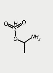 CC(N)O[SH](=O)=O